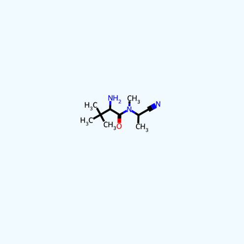 CC(C#N)N(C)C(=O)C(N)C(C)(C)C